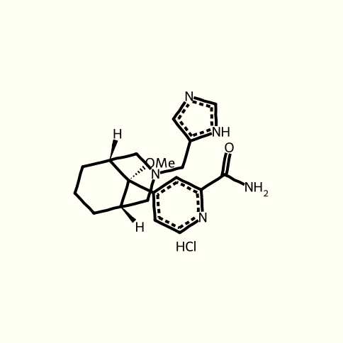 CO[C@@]1(c2ccnc(C(N)=O)c2)[C@@H]2CCC[C@H]1CN(Cc1cnc[nH]1)C2.Cl